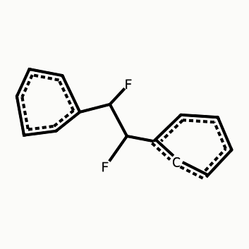 FC(c1ccccc1)C(F)c1ccccc1